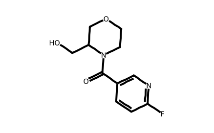 O=C(c1ccc(F)nc1)N1CCOCC1CO